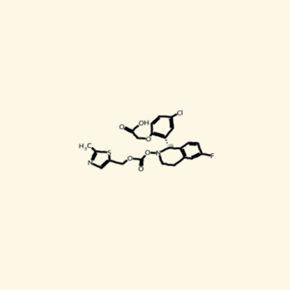 Cc1ncc(COC(=O)ON2CCc3cc(F)ccc3[C@H]2c2cc(Cl)ccc2OCC(=O)O)s1